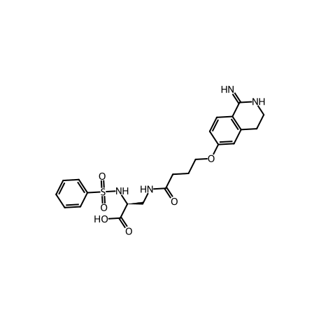 N=C1NCCc2cc(OCCCC(=O)NC[C@H](NS(=O)(=O)c3ccccc3)C(=O)O)ccc21